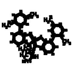 CCC[SiH]=[Hf]([CH3])([CH3])([CH]1C=Cc2c(-c3cc(C)ccc3C)cccc21)[CH]1C=Cc2c(-c3cc(C)ccc3C)cccc21